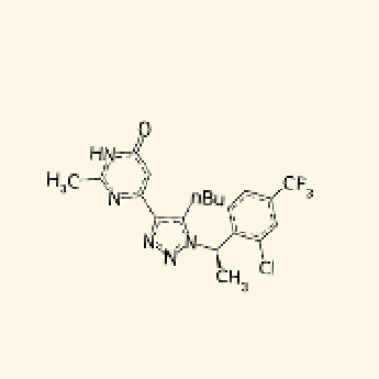 CCCCc1c(-c2cc(=O)[nH]c(C)n2)nnn1[C@H](C)c1ccc(C(F)(F)F)cc1Cl